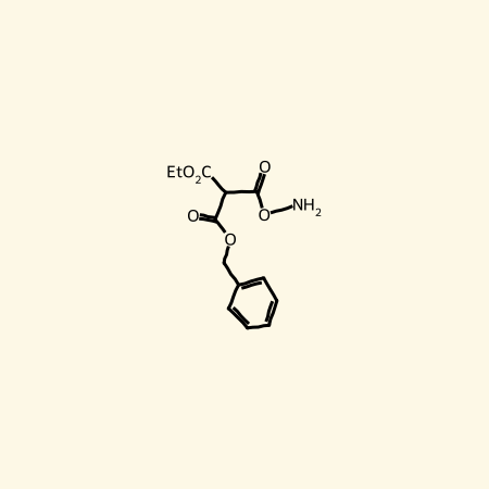 CCOC(=O)C(C(=O)ON)C(=O)OCc1ccccc1